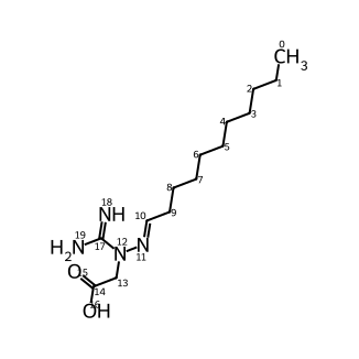 CCCCCCCCCCC=NN(CC(=O)O)C(=N)N